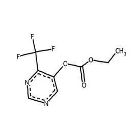 CCOC(=O)Oc1cncnc1C(F)(F)F